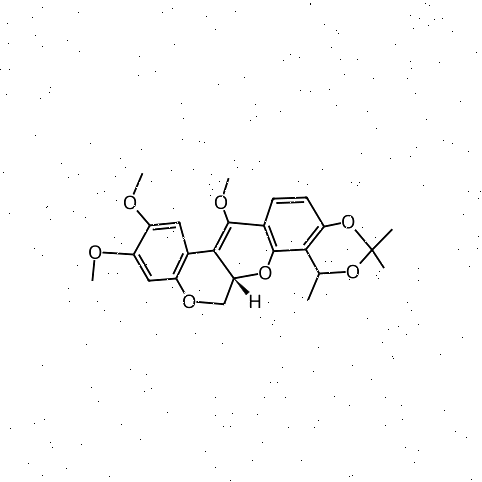 COC1=C2c3cc(OC)c(OC)cc3OC[C@H]2Oc2c1ccc1c2C(C)OC(C)(C)O1